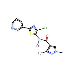 CCN(C(=O)c1cn(C)nc1C(F)(F)F)c1sc(-c2cccnc2)nc1Cl